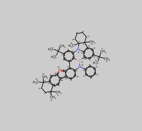 CC(C)(C)c1cc2c3c(c1)N1c4c(cc(C(C)(C)C)cc4C4(C)CCCCC14C)B3N(c1ccccc1)c1ccc3c(oc4cc5c(cc43)C(C)(C)CCC5(C)C)c1-2